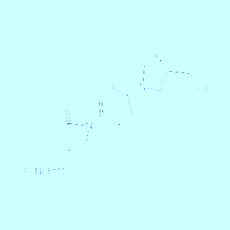 CC(=O)NC[C@H]1CN(c2ccc(-n3cnc(CO)c3)c(F)c2)C(=O)O1